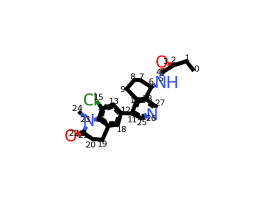 CCC1OC1NC1CCCc2c(-c3cc(Cl)c4c(c3)CCC(=O)N4C)cncc21